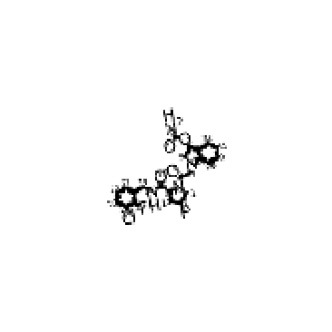 NC(=O)Oc1cn(CC(=O)N2C[C@H](F)C[C@H]2C(=O)NCc2cccc(Cl)c2F)c2ccccc12